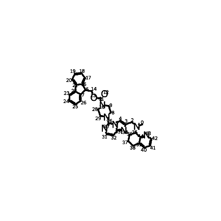 CN(Cc1cn2c(N3CCN(C(=O)OCC4c5ccccc5-c5ccccc54)CC3)nccc2n1)[C@H]1CCCc2cccnc21